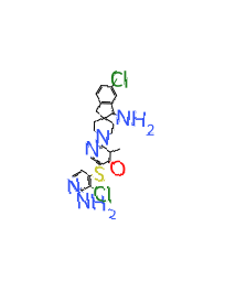 CC1C(=O)C(Sc2ccnc(N)c2Cl)=CN=C1N1CCC2(CC1)Cc1ccc(Cl)cc1C2N